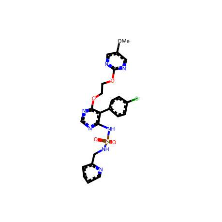 COc1cnc(OCCOc2ncnc(NS(=O)(=O)NCc3ccccn3)c2-c2ccc(Br)cc2)nc1